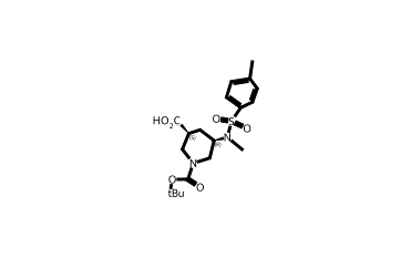 Cc1ccc(S(=O)(=O)N(C)[C@@H]2C[C@H](C(=O)O)CN(C(=O)OC(C)(C)C)C2)cc1